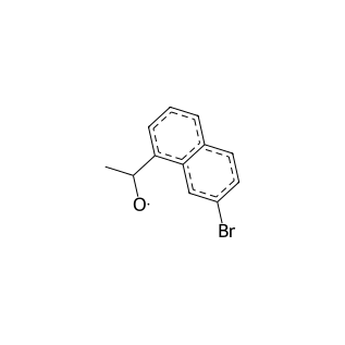 CC([O])c1cccc2ccc(Br)cc12